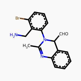 CC1=Nc2ccccc2C(C=O)N1c1cccc(Br)c1CN